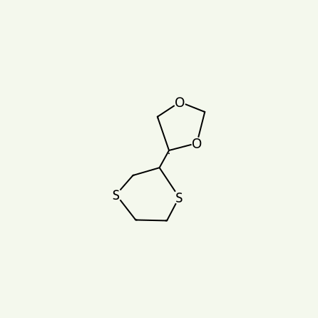 C1OC[C](C2CSCCS2)O1